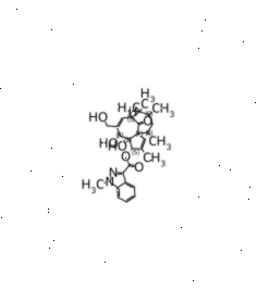 CC1=C[C@]23C(=O)[C@@H](C=C(CO)[C@@H](O)[C@]2(O)[C@H]1OC(=O)c1nn(C)c2ccccc12)C(C)(C)[C@@H](C)C[C@H]3C